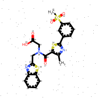 Cc1nc(-c2cccc(S(C)(=O)=O)c2)sc1C(=O)N(CC(=O)O)Cc1nc2ccccc2s1